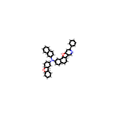 c1ccc(-c2cc3oc4c5cc(N(c6ccc7ccccc7c6)c6ccc7oc8ccccc8c7c6)ccc5ccc4c3cn2)cc1